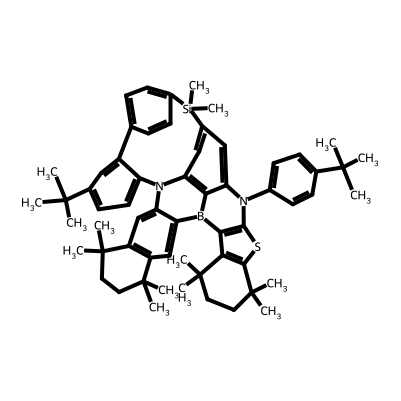 CC(C)(C)c1ccc(N2c3cc4cc5c3B(c3cc6c(cc3N5c3ccc(C(C)(C)C)cc3-c3ccc(cc3)[Si]4(C)C)C(C)(C)CCC6(C)C)c3c2sc2c3C(C)(C)CCC2(C)C)cc1